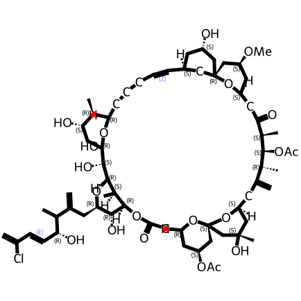 C=C(Cl)/C=C/[C@@H](O)C(C)C(=C)C[C@H]1O[C@@H]2[C@H](C)[C@@H](OC(=O)C[C@H]3C[C@H](OC(C)=O)C[C@@]4(C[C@@](C)(O)C[C@H](CC(=C)[C@@H](C)[C@H](OC(C)=O)[C@H](C)C(=O)C[C@@H]5C[C@H](OC)C[C@@]6(C[C@@H](O)C[C@H](/C=C\CCC[C@H]7O[C@](O)(C[C@H](O)[C@H]7C)[C@H]2O)C6)O5)O4)O3)[C@@H]1O